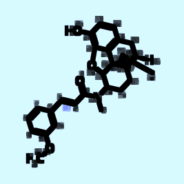 CN(C(=O)/C=C/c1cccc(OC(F)(F)F)c1)C1CC[C@@]2(C)[C@H]3Cc4ccc(O)c5c4[C@@]2(CCN3C)C1O5